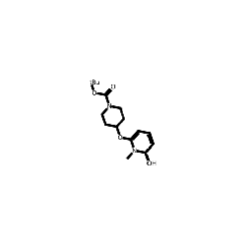 CN1C(OC2CCN(C(=O)OC(C)(C)C)CC2)=CC=CC1O